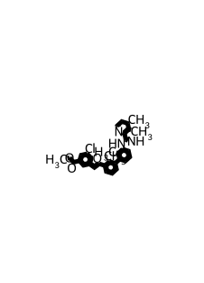 COC(=O)c1cc(Cl)c2oc(-c3cccc(-c4cccc(NC(=N)C5=C(C)[C@@H](C)CC=N5)c4C)c3C)cc2c1